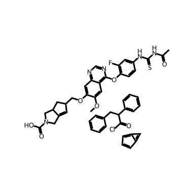 COc1cc2c(Oc3ccc(NC(=S)NC(C)=O)cc3F)ncnc2cc1OCC1C=C2CN(C(=O)O)CC2C1.O=C(Cl)C(Cc1ccccc1)c1ccccc1.c1cc2cc-2c1